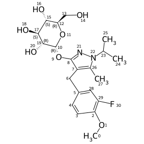 COc1ccc(Cc2c(O[C@H]3O[C@H](CO)[C@@H](O)[C@H](O)[C@H]3O)nn(C(C)C)c2C)cc1F